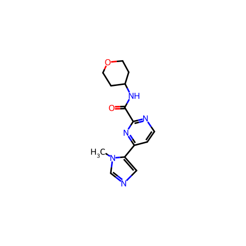 Cn1cncc1-c1ccnc(C(=O)NC2CCOCC2)n1